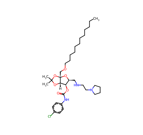 CCCCCCCCCCCCOC[C@@]12O[C@@H](CNCCN3CCCC3)[C@@H](OC(=O)Nc3ccc(Cl)cc3)[C@@H]1OC(C)(C)O2